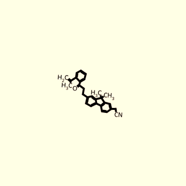 C=C(C)c1ccccc1C(=O)CCc1ccc2c(c1)C(C)(C)c1cc(CC#N)ccc1-2